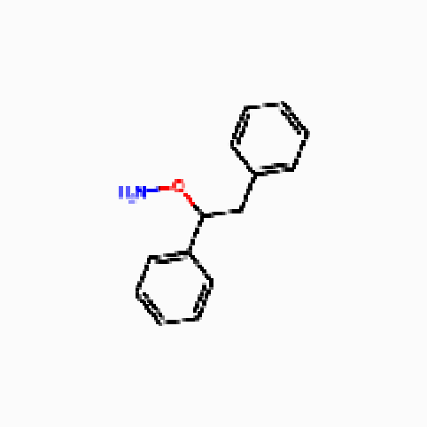 NOC(Cc1ccccc1)c1ccccc1